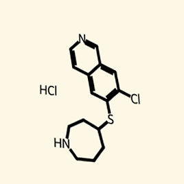 Cl.Clc1cc2cnccc2cc1SC1CCCNCC1